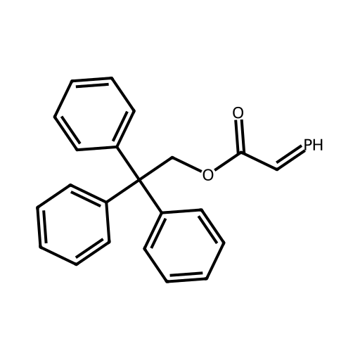 O=C(C=P)OCC(c1ccccc1)(c1ccccc1)c1ccccc1